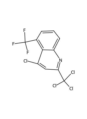 FC(F)(F)c1cccc2nc(C(Cl)(Cl)Cl)cc(Cl)c12